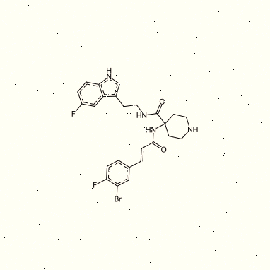 O=C(/C=C/c1ccc(F)c(Br)c1)NC1(C(=O)NCCc2c[nH]c3ccc(F)cc23)CCNCC1